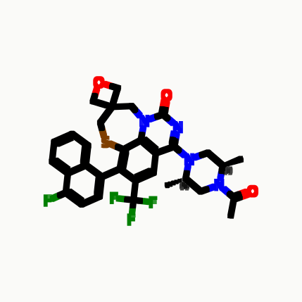 CC(=O)N1C[C@H](C)N(c2nc(=O)n3c4c(c(-c5ccc(F)c6ccccc56)c(C(F)(F)F)cc24)SCC2(COC2)C3)C[C@H]1C